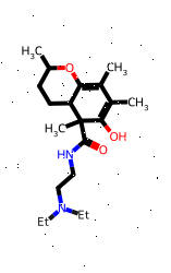 CCN(CC)CCNC(=O)C1(C)C(O)=C(C)C(C)=C2OC(C)CCC21